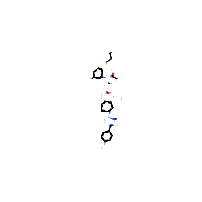 Cc1ccc(OCCCC(F)(F)F)c(N2C(=O)CS/C2=N\C(=O)Nc2ccc(-n3cnc(-c4ccc(OC(F)(F)F)cc4)n3)cc2C)c1